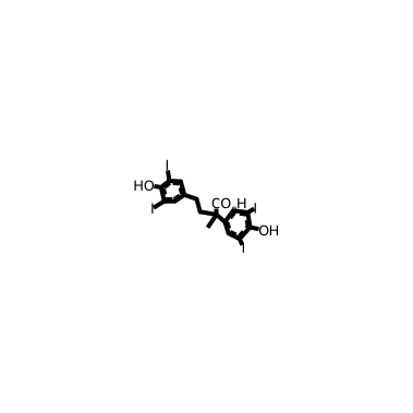 CC(CCc1cc(I)c(O)c(I)c1)(C(=O)O)c1cc(I)c(O)c(I)c1